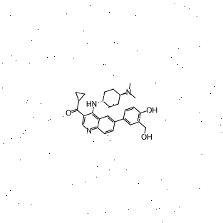 CN(C)[C@H]1CC[C@H](Nc2c(C(=O)C3CC3)cnc3ccc(-c4ccc(O)c(CO)c4)cc23)CC1